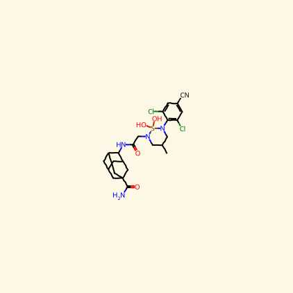 CC1CN(CC(=O)NC2C3CC4CC2CC(C(N)=O)(C4)C3)S(O)(O)N(c2c(Cl)cc(C#N)cc2Cl)C1